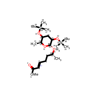 COC(=O)/C=C/CC[C@@H](C)O[C@@H]1O[C@@H](C)C(O[Si](C)(C)C(C)(C)C)CC1O[Si](C)(C)C(C)(C)C